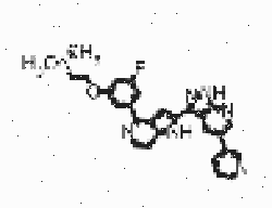 CN(C)CCOc1cc(F)cc(-c2nccc3[nH]c(-c4n[nH]c5ncc(-c6cccnc6)cc45)cc23)c1